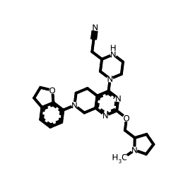 CN1CCCC1COc1nc2c(c(N3CCNC(CC#N)C3)n1)CCN(c1cccc3c1OCC3)C2